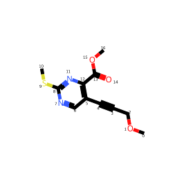 COCC#Cc1cnc(SC)nc1C(=O)OC